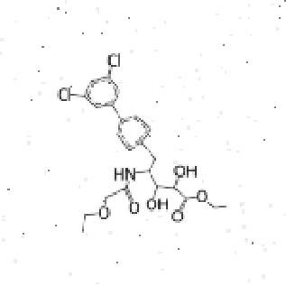 CCOCC(=O)NC(Cc1ccc(-c2cc(Cl)cc(Cl)c2)cc1)C(O)C(O)C(=O)OCC